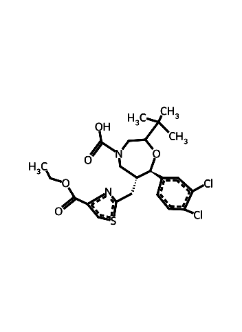 CCOC(=O)c1csc(C[C@@H]2CN(C(=O)O)CC(C(C)(C)C)O[C@H]2c2ccc(Cl)c(Cl)c2)n1